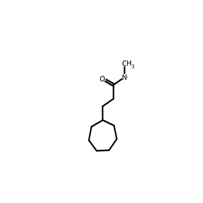 C[N]C(=O)CCC1CCCCCC1